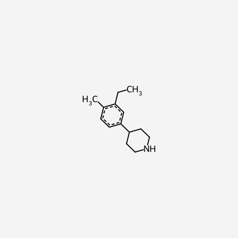 CCc1cc(C2CCNCC2)ccc1C